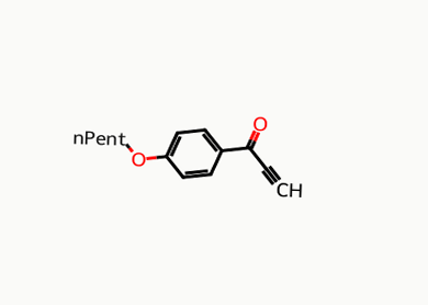 C#CC(=O)c1ccc(OCCCCC)cc1